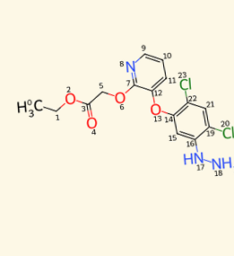 CCOC(=O)COc1ncccc1Oc1cc(NN)c(Cl)cc1Cl